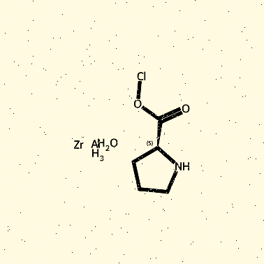 O.O=C(OCl)[C@@H]1CCCN1.[AlH3].[Zr]